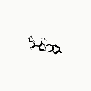 CCOC(=O)c1cnn(Cc2ccc(F)cc2F)c1C